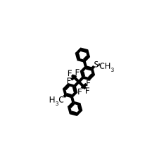 CSc1ccc(C(c2ccc(C)c(-c3ccccc3)c2)(C(F)(F)F)C(F)(F)F)cc1-c1ccccc1